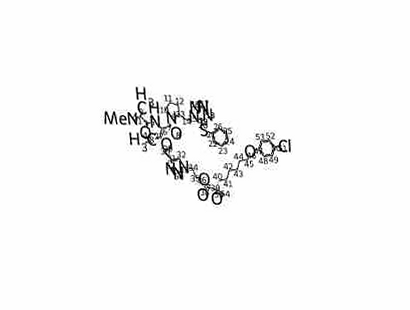 CNC(C)C(=O)NC(C(=O)N1CCCC1Cn1nnnc1Sc1ccccc1)C(C)OCc1cn(CCOC(=O)[C@@]2(CCCCCCOc3ccc(Cl)cc3)CO2)nn1